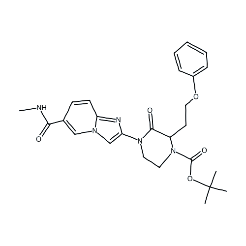 CNC(=O)c1ccc2nc(N3CCN(C(=O)OC(C)(C)C)C(CCOc4ccccc4)C3=O)cn2c1